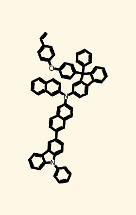 C=Cc1ccc(Oc2ccc(C3(c4ccccc4)c4ccccc4-c4ccc(N(c5ccc6ccccc6c5)c5ccc6cc(-c7ccc8c(c7)c7ccccc7n8-c7ccccc7)ccc6c5)cc43)cc2)cc1